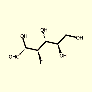 O=C[C@H](O)[C@H](F)[C@H](O)[C@H](O)CO